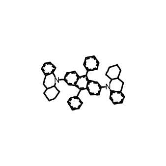 c1ccc(-c2c3ccc(N4c5ccccc5CC5CCCCC54)cc3c(-c3ccccc3)c3ccc(N4c5ccccc5CC5CCCCC54)cc23)cc1